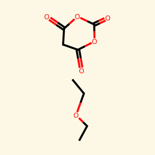 CCOCC.O=C1CC(=O)OC(=O)O1